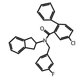 O=C(c1cc(Cl)ccc1-c1ccccc1)N(Cc1cccc(F)c1)C1Cc2ccccc2C1